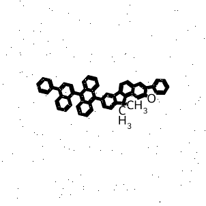 CC1(C)c2ccc(-c3c4ccccc4c(C4=CC=C(c5ccccc5)C5C=CC=CC45)c4ccccc34)cc2-c2ccc3cc4c(cc3c21)oc1ccccc14